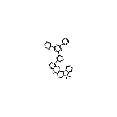 CC1(C)c2ccccc2-c2c1ccc1c2Oc2c(cccc2-c2cccc(-c3nc(-c4ccccc4)nc(-c4ccccn4)n3)c2)O1